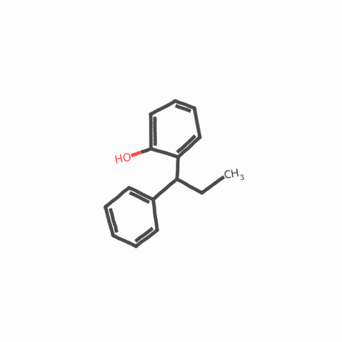 CCC(c1ccccc1)c1ccccc1O